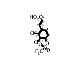 O=C(O)/C=C/c1ccc(OS(=O)(=O)C(F)(F)F)c(Cl)c1Cl